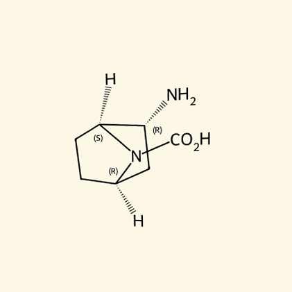 N[C@@H]1C[C@H]2CC[C@@H]1N2C(=O)O